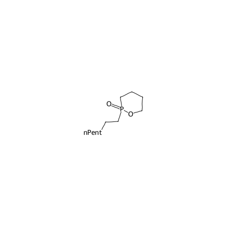 CCCCCCCP1(=O)CCCCO1